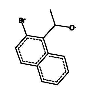 CC([O])c1c(Br)ccc2ccccc12